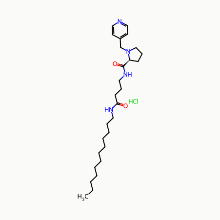 CCCCCCCCCCCCNC(=O)CCCNC(=O)[C@@H]1CCCN1Cc1ccncc1.Cl